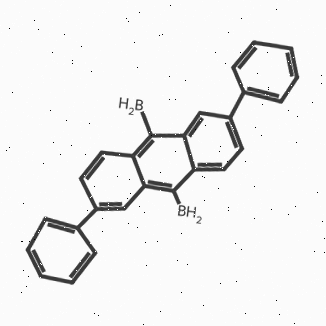 Bc1c2ccc(-c3ccccc3)cc2c(B)c2ccc(-c3ccccc3)cc12